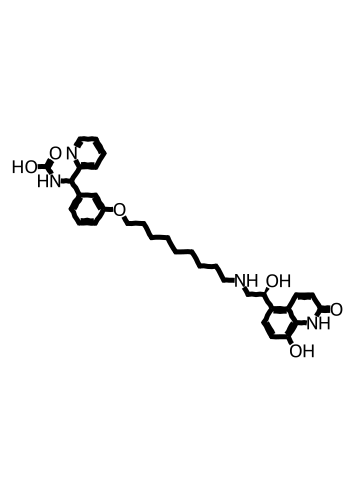 O=C(O)NC(c1cccc(OCCCCCCCCCNC[C@@H](O)c2ccc(O)c3[nH]c(=O)ccc23)c1)c1ccccn1